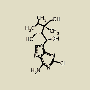 CC(C)[C@](C)(CO)[C@@H](CO)[C@@H](O)n1cnc2c(N)nc(Cl)nc21